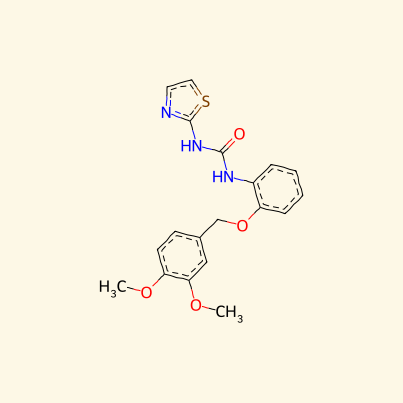 COc1ccc(COc2ccccc2NC(=O)Nc2nccs2)cc1OC